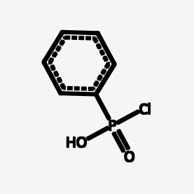 O=P(O)(Cl)c1ccccc1